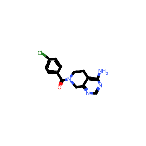 Nc1ncnc2c1CCN(C(=O)c1ccc(Cl)cc1)C2